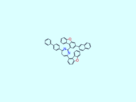 C1=C(c2cccc3oc4ccccc4c23)N=C(c2cc(-c3ccc4ccccc4c3)cc3oc4ccccc4c23)N=C(c2ccc(-c3ccccc3)cc2)C1